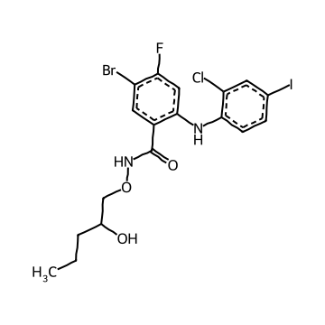 CCCC(O)CONC(=O)c1cc(Br)c(F)cc1Nc1ccc(I)cc1Cl